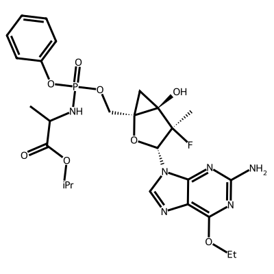 CCOc1nc(N)nc2c1ncn2[C@@H]1O[C@@]2(COP(=O)(NC(C)C(=O)OC(C)C)Oc3ccccc3)C[C@]2(O)[C@@]1(C)F